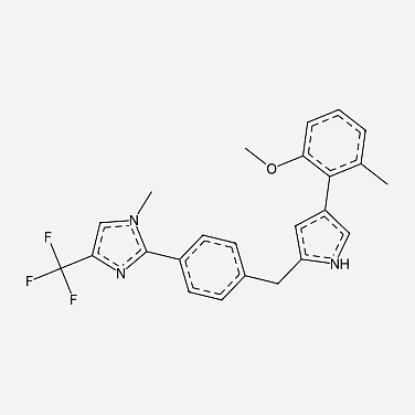 COc1cccc(C)c1-c1c[nH]c(Cc2ccc(-c3nc(C(F)(F)F)cn3C)cc2)c1